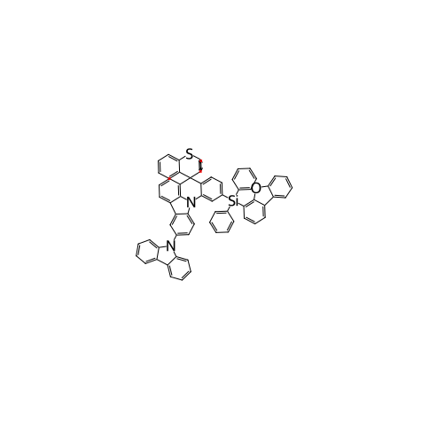 c1ccc([Si](c2ccccc2)(c2ccc3c(c2)-n2c4ccc(-n5c6ccccc6c6ccccc65)cc4c4cccc(c42)C32c3ccccc3Sc3ccccc32)c2cccc3c2oc2ccccc23)cc1